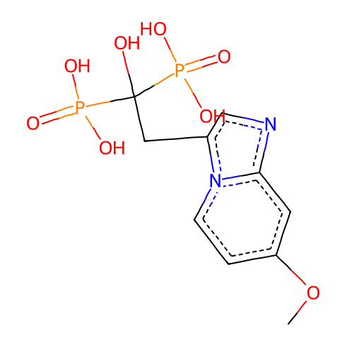 COc1ccn2c(CC(O)(P(=O)(O)O)P(=O)(O)O)cnc2c1